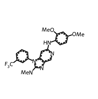 CNc1nc2cnc(Nc3ccc(OC)cc3OC)cc2n1-c1cccc(C(F)(F)F)c1